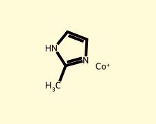 Cc1ncc[nH]1.[Co+]